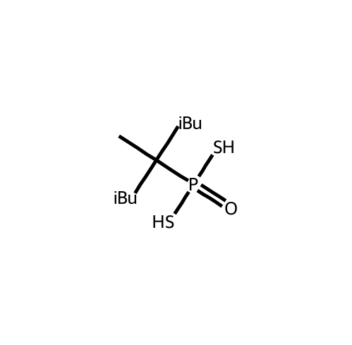 CCC(C)C(C)(C(C)CC)P(=O)(S)S